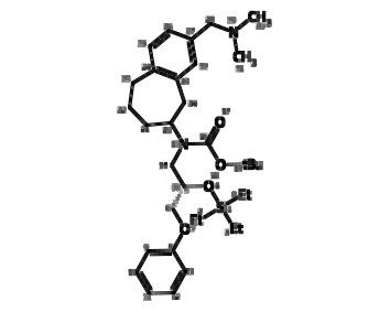 CC[Si](CC)(CC)O[C@H](COc1ccccc1)CN(C(=O)OC(C)(C)C)C1CCCc2ccc(CN(C)C)cc2C1